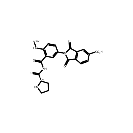 CCCCCCCCCCNc1ccc(N2C(=O)c3ccc(C(=O)O)cc3C2=O)cc1C(=O)NC(=O)[C@H]1CCCN1